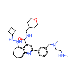 CNCCN(C)Cc1cccc(-c2cc(C(=O)NCC3CCOCC3)c3c(n2)=CCCCC=3NNC2CCC2)c1